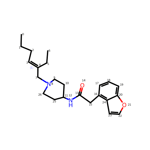 CCC/C=C(\CC)CN1CCC(NC(=O)Cc2cccc3occc23)CC1